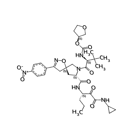 CCC[C@H](NC(=O)[C@@H]1C[C@]2(CC(c3ccc([N+](=O)[O-])cc3)=NO2)CN1C(=O)[C@@H](NC(=O)O[C@H]1CCOC1)C(C)(C)C)C(=O)C(=O)NC1CC1